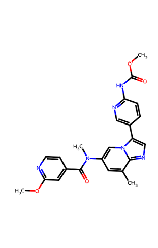 COC(=O)Nc1ccc(-c2cnc3c(C)cc(N(C)C(=O)c4ccnc(OC)c4)cn23)cn1